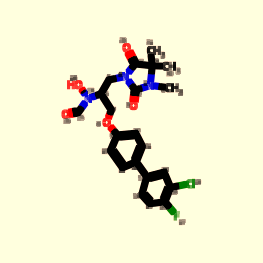 CN1C(=O)N(CC(COc2ccc(-c3ccc(F)c(Cl)c3)cc2)N(O)C=O)C(=O)C1(C)C